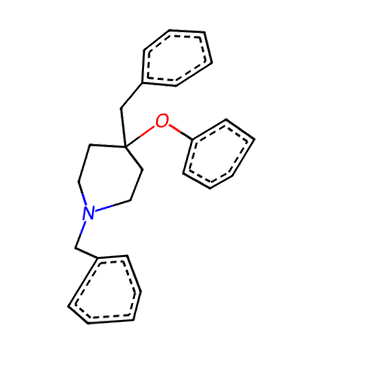 c1ccc(CN2CCC(Cc3ccccc3)(Oc3ccccc3)CC2)cc1